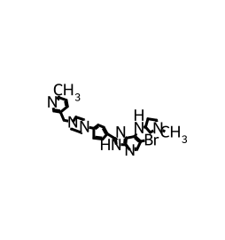 Cc1ccc(CN2CCN(c3ccc(-c4nc5c(NC6CCN(C)C6)c(Br)cnc5[nH]4)cc3)CC2)cn1